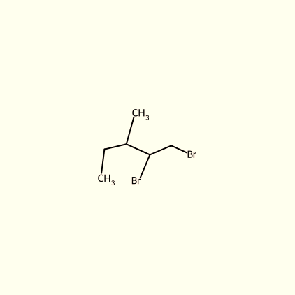 CCC(C)C(Br)CBr